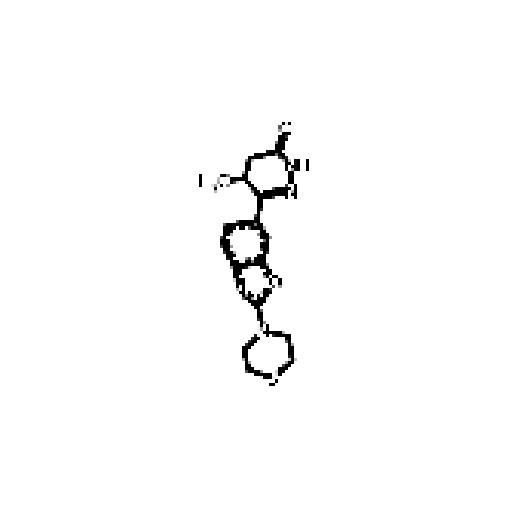 CC1CC(=O)NN=C1c1ccc2nc(N3CCSCC3)oc2c1